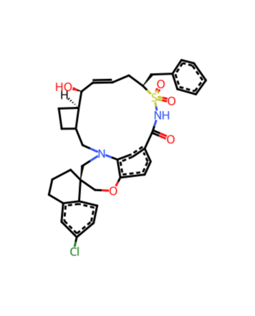 O=C1NS(=O)(=O)[C@H](Cc2ccccc2)C/C=C/[C@H](O)[C@@H]2CCC2CN2C[C@@]3(CCCc4cc(Cl)ccc43)COc3ccc1cc32